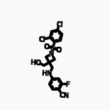 N#Cc1ccc(NCC2(CO)CN(S(=O)(=O)c3ccc(Cl)cc3Cl)C2)cc1F